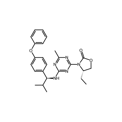 CC[C@H]1COC(=O)N1c1nc(C)nc(N[C@H](c2ccc(Oc3ccccc3)cc2)C(C)C)n1